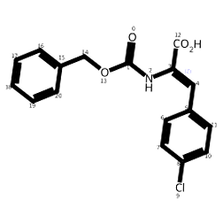 O=C(N/C(=C\c1ccc(Cl)cc1)C(=O)O)OCc1ccccc1